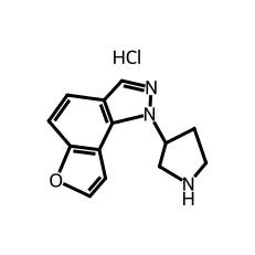 Cl.c1cc2c(ccc3cnn(C4CCNC4)c32)o1